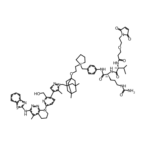 Cc1c(Nc2nc3ccccc3s2)nnc2c1CCCN2c1ccc(-c2cnn(CC34CC5(C)CC(C)(C3)CC(OCC[N+]3(Cc6ccc(NC(=O)[C@H](CCCNC(N)=O)NC(=O)[C@@H](NC(=O)CCOCCN7C(=O)C=CC7=O)C(C)C)cc6)CCCC3)(C5)C4)c2C)c(CO)n1